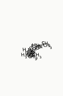 C=C(C)CCc1cc(NC(=O)Cc2c(F)cc(-c3nn(C(C)C)c(NC(=O)OC(C)(C)C)c3C(N)=O)cc2F)on1